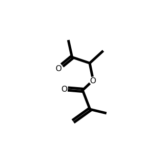 C=C(C)C(=O)OC(C)C(C)=O